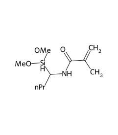 C=C(C)C(=O)NC(CCC)[SiH](OC)OC